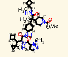 COC(=O)N1CCC(C(C)(C(=O)NCC2(C)CCC2)c2ccc(NC(=O)[C@@H](NC(=O)c3ccnn3C)C(C3CCC3)C3(C)CC3)cc2)CC1